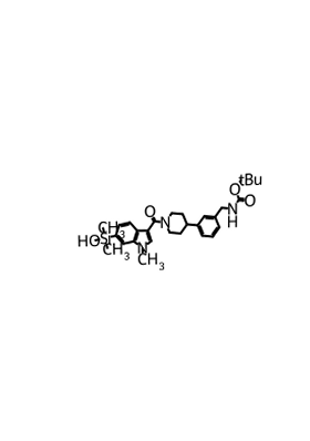 Cn1cc(C(=O)N2CCC(c3cccc(CNC(=O)OC(C)(C)C)c3)CC2)c2ccc([Si](C)(C)O)cc21